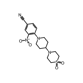 N#Cc1ccc(N2CCC(N3CCS(=O)(=O)CC3)CC2)c([N+](=O)[O-])c1